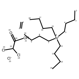 C=C.CCCC[N+](CCCC)(CCCC)CCCC.O=C(O)C(Cl)Cl.[Cl-]